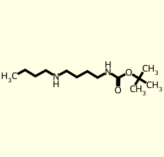 CCCCNCCCCNC(=O)OC(C)(C)C